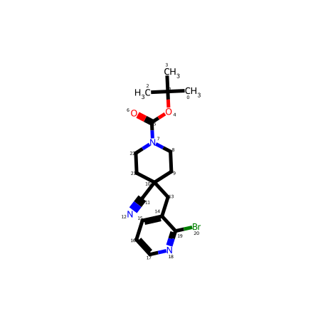 CC(C)(C)OC(=O)N1CCC(C#N)(Cc2cccnc2Br)CC1